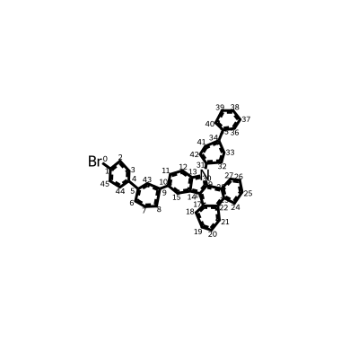 Brc1ccc(-c2cccc(-c3ccc4c(c3)c3c5ccccc5c5ccccc5c3n4-c3ccc(-c4ccccc4)cc3)c2)cc1